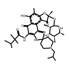 Cc1c(O)c2c(c3c1O[C@](C)(OC(C)[C@H](C)[C@H](O)[C@H](C)[C@H](C)O)C3=O)C1=NC3(CCN(CC(C)C)CC3)NC1=C(NC(=O)C(C)(C)C(C)C)C2=O